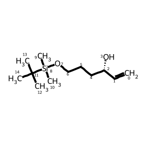 C=C[C@@H](O)CCCO[Si](C)(C)C(C)(C)C